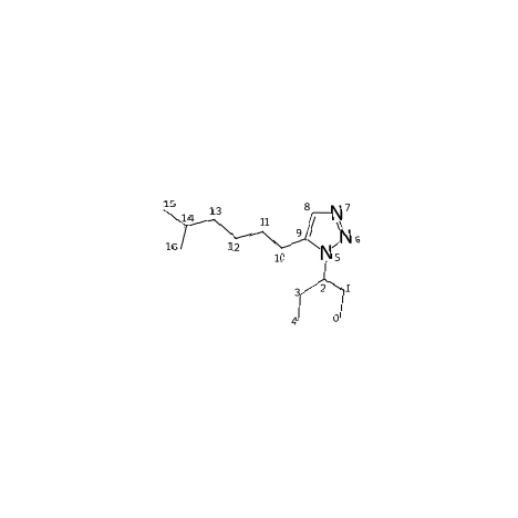 CCC(CC)n1nncc1CCCCC(C)C